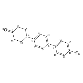 O=C1CCC(c2ccc(-c3ccc(F)cc3)cc2)CC1